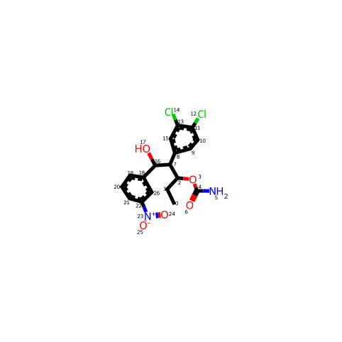 CCC(OC(N)=O)C(c1ccc(Cl)c(Cl)c1)C(O)c1cccc([N+](=O)[O-])c1